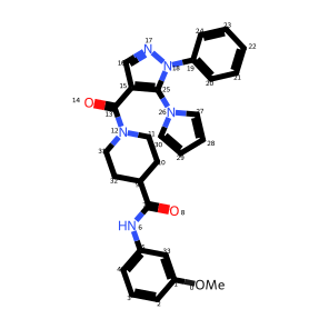 COc1cccc(NC(=O)C2CCN(C(=O)c3cnn(-c4ccccc4)c3-n3cccc3)CC2)c1